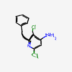 Nc1cc(Cl)nc(Cc2ccccc2)c1Cl